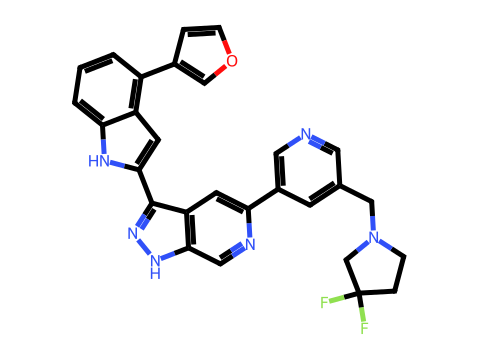 FC1(F)CCN(Cc2cncc(-c3cc4c(-c5cc6c(-c7ccoc7)cccc6[nH]5)n[nH]c4cn3)c2)C1